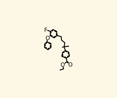 CCOC(=O)c1ccc(C(C)(C)CCCc2ccc(F)c(Oc3ccccc3)c2)cc1